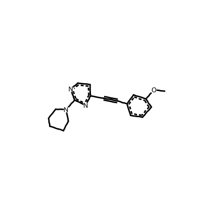 COc1cccc(C#Cc2ccnc(N3CCCCC3)n2)c1